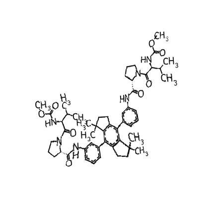 COC(=O)N[C@H](C(=O)N1CCC[C@H]1C(=O)Nc1cccc(-c2c3c(c(-c4cccc(NC(=O)[C@@H]5CCCN5C(=O)[C@@H](NC(=O)OC)C(C)C)c4)c4c2C(C)(C)CC4)C(C)(C)CC3)c1)C(C)C